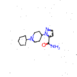 NC(=O)c1ccnn1C1CCN(C2CCCCC2)CC1